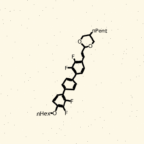 CCCCCCOc1ccc(-c2ccc(-c3ccc(/C=C/C4OCC(CCCCC)CO4)c(F)c3F)cc2)c(F)c1F